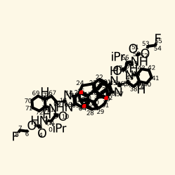 CC(C)[C@H](NC(=O)OCCF)C(=O)N1[C@H](c2nc3cc(-c4cc5ccc4CCc4ccc(c(-c6ccc7[nH]c([C@@H]8C[C@@H]9CCCC[C@@H]9N8C(=O)[C@@H](NC(=O)OCCF)C(C)C)nc7c6)c4)CC5)ccc3[nH]2)C[C@@H]2CCCC[C@@H]21